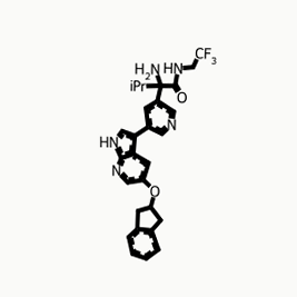 CC(C)C(N)(C(=O)NCC(F)(F)F)c1cncc(-c2c[nH]c3ncc(OC4Cc5ccccc5C4)cc23)c1